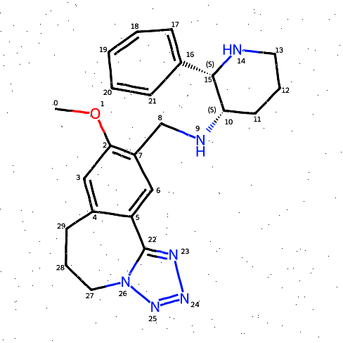 COc1cc2c(cc1CN[C@H]1CCCN[C@H]1c1ccccc1)-c1nnnn1CCC2